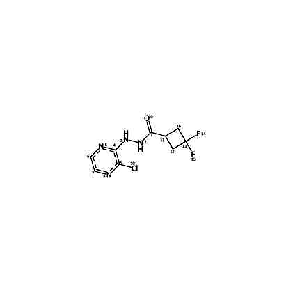 O=C(NNc1nccnc1Cl)C1CC(F)(F)C1